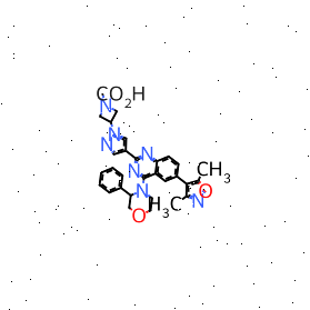 Cc1noc(C)c1-c1ccc2nc(-c3cnn(C4CN(C(=O)O)C4)c3)nc(N3CCOCC3c3ccccc3)c2c1